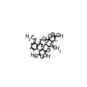 C=Cc1ccccc1C(CO)N(CCN(C)C(CC(=O)O)C(=O)O)C(CC(=O)O)C(=O)O